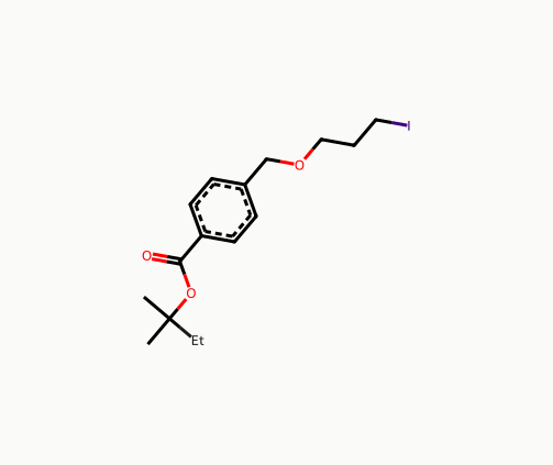 CCC(C)(C)OC(=O)c1ccc(COCCCI)cc1